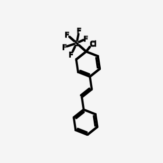 FS(F)(F)(F)(F)C1(Cl)C=CC(C=Cc2ccccc2)=CC1